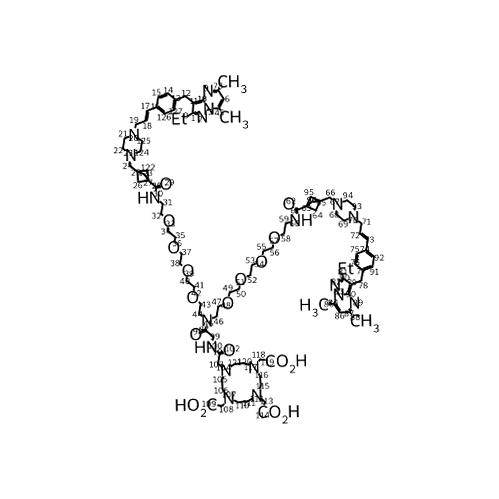 CCc1nn2c(C)cc(C)nc2c1Cc1ccc(/C=C/CN2CCN(CC34CC(C(=O)NCCOCCOCCOCCOCCN(CCOCCOCCOCCOCCNC(=O)C56CC(CN7CCN(C/C=C/c8ccc(Cc9c(CC)nn%10c(C)cc(C)nc9%10)cc8)CC7)(C5)C6)C(=O)CNC(=O)CN5CCN(CC(=O)O)CCN(CC(=O)O)CCN(CC(=O)O)CC5)(C3)C4)CC2)cc1